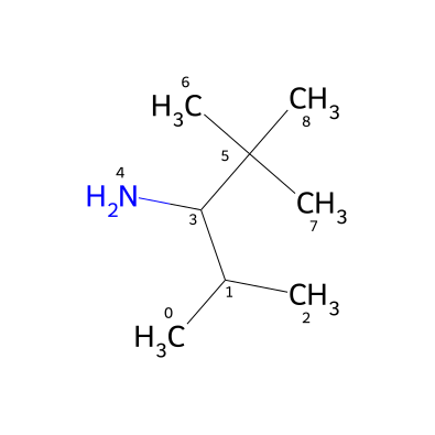 CC(C)C(N)C(C)(C)C